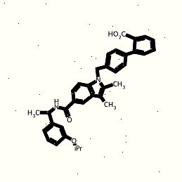 Cc1c(C)n(Cc2ccc(-c3ccccc3C(=O)O)cc2)c2ccc(C(=O)NC(C)c3cccc(OC(C)C)c3)cc12